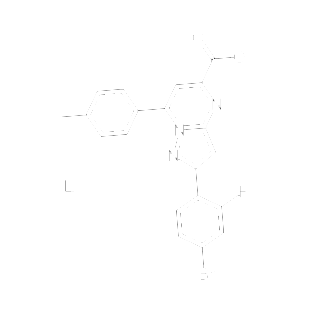 Cc1ccc(-c2cc(C(=O)[O-])nc3cc(-c4ccc(Br)cc4F)nn23)cc1.[Li+]